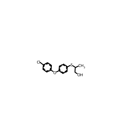 CC(CO)Sc1ccc(Oc2ccc(Cl)cc2)cc1